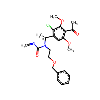 C=NC(=O)N(CCOCc1ccccc1)[C@H](C)c1cc(OC)c(C(C)=O)c(OC)c1Cl